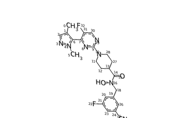 Cc1cnn(C)c1-c1nc(N2CCC(C(=O)N(O)Cc3cc(F)cc(C#N)c3)CC2)ncc1F